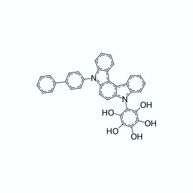 Oc1c(O)c(O)c(-n2c3ccccc3c3c4c5ccccc5n(-c5ccc(-c6ccccc6)cc5)c4ccc32)c(O)c1O